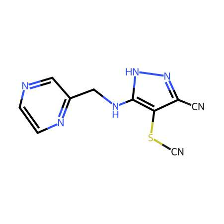 N#CSc1c(C#N)n[nH]c1NCc1cnccn1